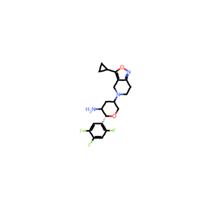 NC1CC(N2CCc3noc(C4CC4)c3C2)CO[C@@H]1c1cc(F)c(F)cc1F